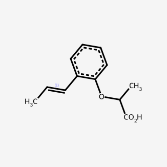 C/C=C/c1ccccc1OC(C)C(=O)O